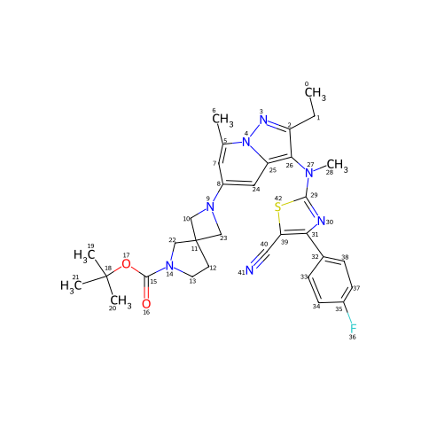 CCc1nn2c(C)cc(N3CC4(CCN(C(=O)OC(C)(C)C)C4)C3)cc2c1N(C)c1nc(-c2ccc(F)cc2)c(C#N)s1